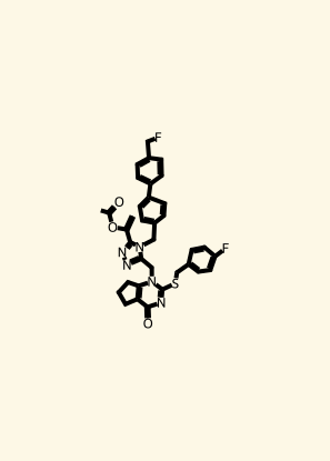 C=C(OC(C)=O)c1nnc(Cn2c(SCc3ccc(F)cc3)nc(=O)c3c2CCC3)n1Cc1ccc(-c2ccc(CF)cc2)cc1